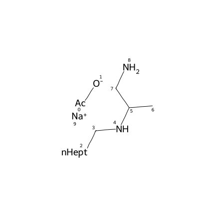 CC(=O)[O-].CCCCCCCCNC(C)CN.[Na+]